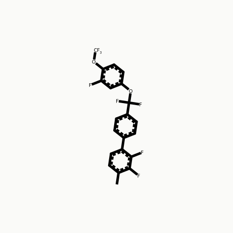 Cc1ccc(-c2ccc(C(F)(F)Oc3ccc(OC(F)(F)F)c(F)c3)cc2)c(F)c1F